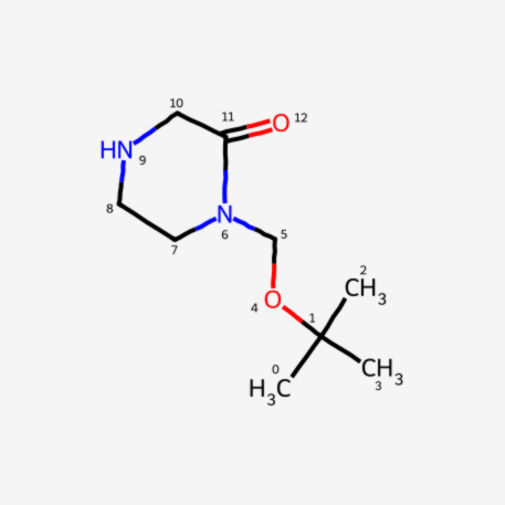 CC(C)(C)OCN1CCNCC1=O